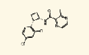 Cc1nccnc1C(=O)N[C@H]1CC[C@H]1c1ccc(Cl)cc1Cl